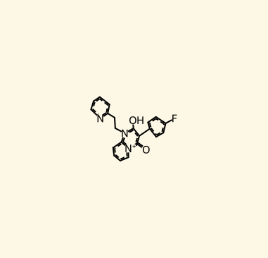 O=c1c(-c2ccc(F)cc2)c(O)n(CCc2ccccn2)c2cccc[n+]12